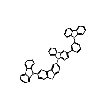 c1cc(-c2ccc3c(c2)c2ccccc2n3-c2ccc3sc4ccc(-n5c6ccccc6c6ccccc65)cc4c3c2)cc(-n2c3ccccc3c3ccccc32)c1